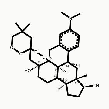 CN(C)c1ccc2c(c1)C[C@]13CCC4(CC(C)(C)COO4)C[C@]1(O)CC[C@@H]1[C@@H]3[C@@H]2C[C@]2(C)[C@@H](C#N)CC[C@@H]12